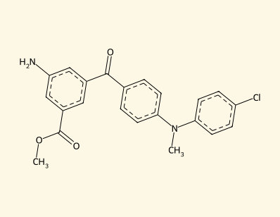 COC(=O)c1cc(N)cc(C(=O)c2ccc(N(C)c3ccc(Cl)cc3)cc2)c1